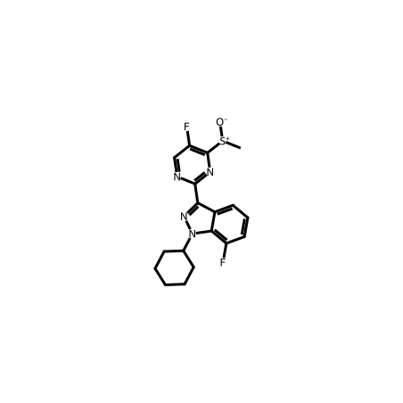 C[S+]([O-])c1nc(-c2nn(C3CCCCC3)c3c(F)cccc23)ncc1F